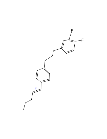 CCC/C=C/c1ccc(CCCc2ccc(F)c(F)c2)cc1